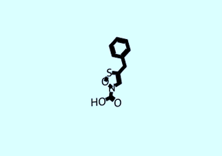 O=C(O)N1C=C(Cc2ccccc2)SO1